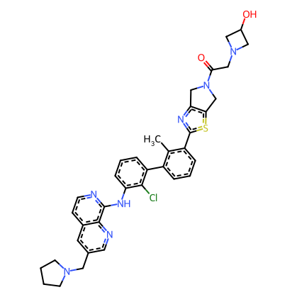 Cc1c(-c2nc3c(s2)CN(C(=O)CN2CC(O)C2)C3)cccc1-c1cccc(Nc2nccc3cc(CN4CCCC4)cnc23)c1Cl